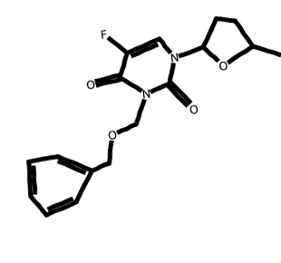 CC1CCC(n2cc(F)c(=O)n(COCc3ccccc3)c2=O)O1